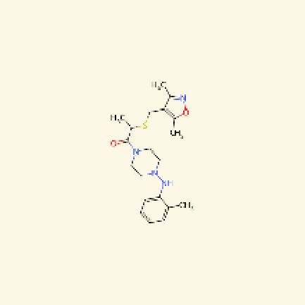 Cc1ccccc1NN1CCN(C(=O)C(C)SCc2c(C)noc2C)CC1